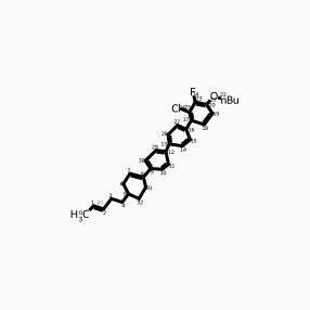 C/C=C/CCC1CC=C(c2ccc(-c3ccc(-c4ccc(OCCCC)c(F)c4Cl)cc3)cc2)CC1